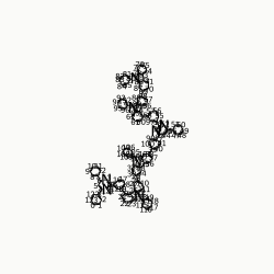 c1ccc(-c2cc(-c3ccccc3)nc(-c3cccc(-c4cccc5c4c4cc(-c6ccc7c(c6)c6ccc(-c8ccc(-c9cc(-c%10ccccc%10)nc(-c%10cccc(-c%11cccc%12c%11c%11ccc(-c%13ccc%14c%15ccccc%15n(-c%15ccccc%15)c%14c%13)cc%11n%12-c%11ccccc%11)c%10)n9)cc8)cc6n7-c6ccccc6)ccc4n5-c4ccccc4)c3)n2)cc1